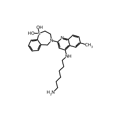 Cc1ccc2nc(N3CCS(O)(O)c4ccccc4C3)cc(NCCCCCCN)c2c1